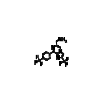 NCc1cn2cc(C(F)(F)F)nc2c(-c2ccc(C(F)(F)F)cc2)n1